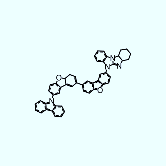 C1=C(c2ccc3oc4ccc(N5C6=NC7CCCCC7N6c6ccccc65)cc4c3c2)C=C2c3cc(-n4c5ccccc5c5ccccc54)ccc3OC2C1